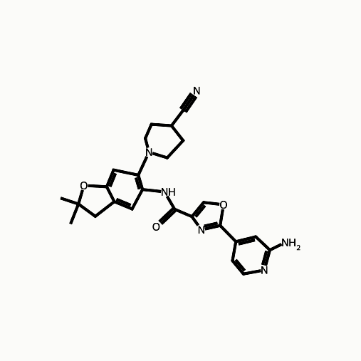 CC1(C)Cc2cc(NC(=O)c3coc(-c4ccnc(N)c4)n3)c(N3CCC(C#N)CC3)cc2O1